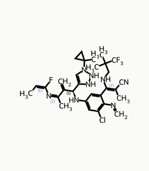 C=Nc1c(Cl)cc(N[C@@H](C(=C)/C(C)=N\C(F)=C/C)C2=CN(C3(C)CC3)NN2)cc1/C(NCC(C)(C)C(F)(F)F)=C(\C)C#N